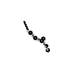 CCCCCCCCOc1ccc(N=Nc2ccc(N=Nc3ccc(N=Nc4ccc(N5CCCCC5)s4)c4ccccc34)cc2)cc1